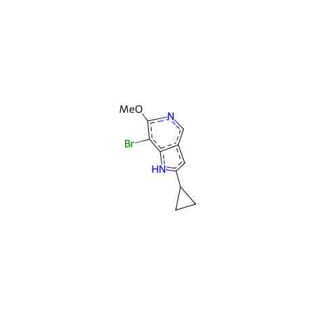 COc1ncc2cc(C3CC3)[nH]c2c1Br